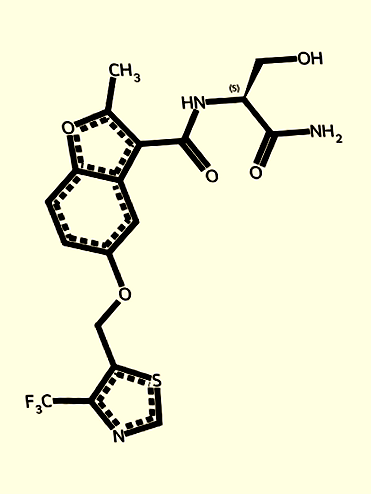 Cc1oc2ccc(OCc3scnc3C(F)(F)F)cc2c1C(=O)N[C@@H](CO)C(N)=O